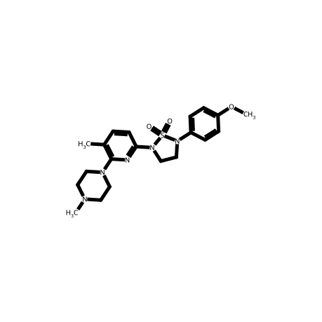 COc1ccc(N2CCN(c3ccc(C)c(N4CCN(C)CC4)n3)S2(=O)=O)cc1